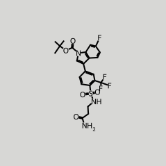 CC(C)(C)OC(=O)n1cc(-c2ccc(S(=O)(=O)NCCC(N)=O)c(C(F)(F)F)c2)c2ccc(F)cc21